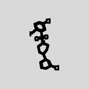 O=S(=O)(c1cc(Cl)ccc1F)N1CCC(C2C=CCC(Cl)=C2)CC1